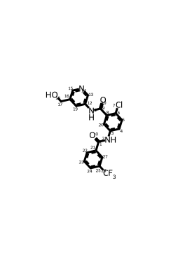 O=C(Nc1ccc(Cl)c(C(=O)Nc2cncc(CO)c2)c1)c1cccc(C(F)(F)F)c1